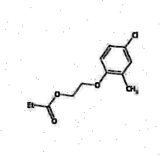 CCC(=O)OCCOc1ccc(Cl)cc1C